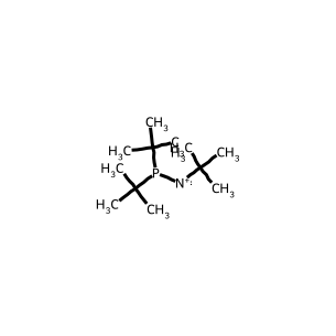 CC(C)(C)[N+]P(C(C)(C)C)C(C)(C)C